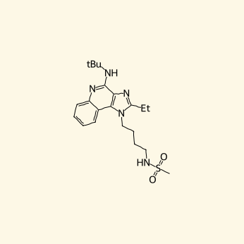 CCc1nc2c(NC(C)(C)C)nc3ccccc3c2n1CCCCNS(C)(=O)=O